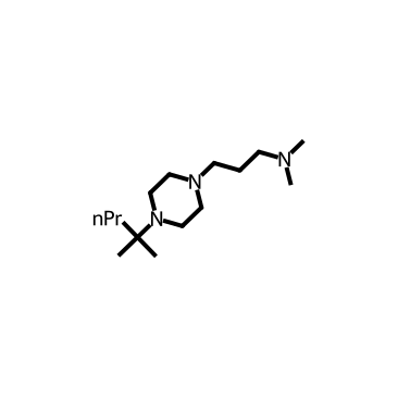 CCCC(C)(C)N1CCN(CCCN(C)C)CC1